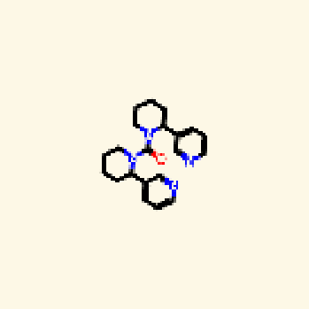 O=C(N1CCCCC1c1cccnc1)N1CCCCC1c1cccnc1